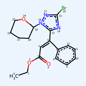 CCOC(=O)/C=C(\c1ccccc1)c1nc(Br)nn1C1CCCCO1